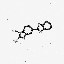 CCCn1c(C)nc2cc(-c3nc4ccccc4o3)ccc21